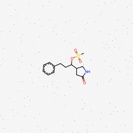 CS(=O)(=O)OC(CCc1ccccc1)C1CNC(=O)C1